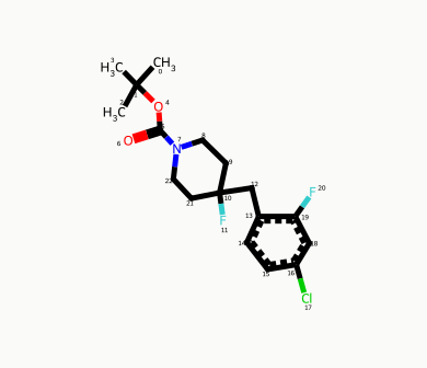 CC(C)(C)OC(=O)N1CCC(F)(Cc2ccc(Cl)cc2F)CC1